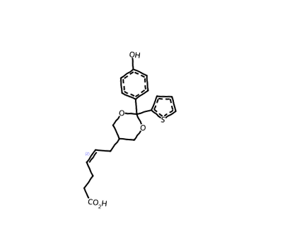 O=C(O)CC/C=C\CC1COC(c2ccc(O)cc2)(c2cccs2)OC1